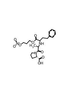 CC(NC(CCc1ccccc1)C(=O)OCCCO[N+](=O)[O-])C(=O)N1CCC[C@H]1C(=O)O